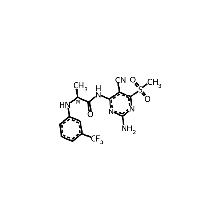 C[C@H](Nc1cccc(C(F)(F)F)c1)C(=O)Nc1nc(N)nc(S(C)(=O)=O)c1C#N